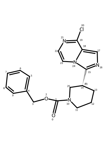 O=C(OCc1ccccc1)N1CCC[C@@H](c2ncc3c(Cl)nccn23)C1